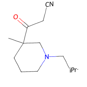 C[C](C)CN1CCCC(C)(C(=O)CC#N)C1